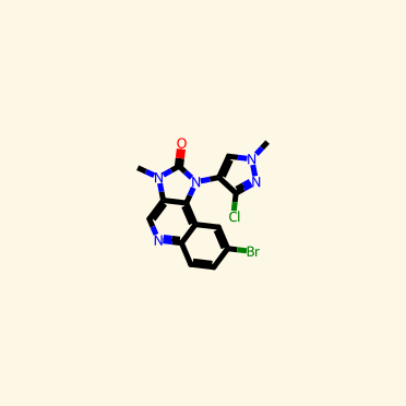 Cn1cc(-n2c(=O)n(C)c3cnc4ccc(Br)cc4c32)c(Cl)n1